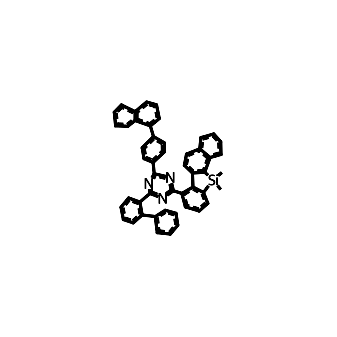 C[Si]1(C)c2cccc(-c3nc(-c4ccc(-c5cccc6ccccc56)cc4)nc(-c4ccccc4-c4ccccc4)n3)c2-c2ccc3ccccc3c21